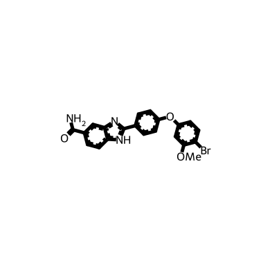 COc1cc(Oc2ccc(-c3nc4cc(C(N)=O)ccc4[nH]3)cc2)ccc1Br